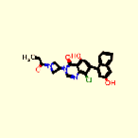 C=CC(=O)N1CC(n2cnc3c(Cl)c(-c4cc(O)cc5ccccc45)cc(O)c3c2=O)C1